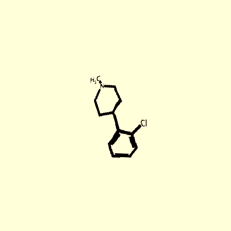 CN1CCC(c2ccccc2Cl)CC1